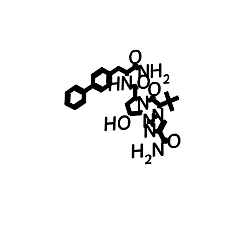 CC(C)(C)C(C(=O)N1CC(O)CC1C(=O)NC(Cc1ccc(-c2ccccc2)cc1)C(N)=O)n1cc(C(N)=O)nn1